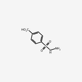 NNS(=O)(=O)c1ccc(C(=O)O)cc1